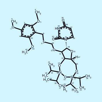 COc1cc(OC)c(CSCOC2C3O[Si](C(C)C)(C(C)C)O[Si](C(C)C)(C(C)C)OC[C@H]3O[C@H]2n2ccc(=O)[nH]c2=O)c(OC)c1